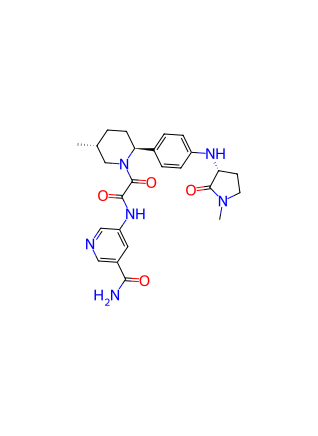 C[C@@H]1CC[C@@H](c2ccc(N[C@@H]3CCN(C)C3=O)cc2)N(C(=O)C(=O)Nc2cncc(C(N)=O)c2)C1